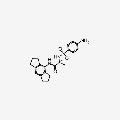 C[C@H](NS(=O)(=O)c1ccc(N)cc1)C(=O)Nc1c2c(cc3c1CCC3)CCC2